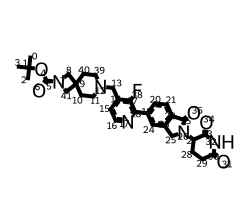 CC(C)(C)OC(=O)N1CC2(CCN(Cc3ccnc(-c4ccc5c(c4)CN(C4CCC(=O)NC4=O)C5=O)c3F)CC2)C1